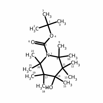 CC(C)(C)OC(=O)N1C(C)(C)C(C)(C)C(C)(O)C(C)(C)C1(C)C